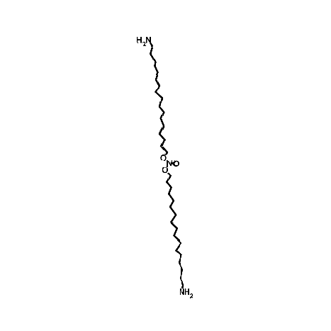 NCCCCCCCCCCCCCCCCCO[N+](=O)OCCCCCCCCCCCCCCCCCN